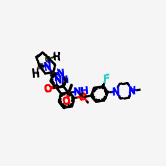 COc1cccc(C(=O)N[C@H]2C[C@H]3CC[C@@H](C2)N3c2ccc(C(=O)NCc3ccc(N4CCN(C)CC4)c(F)c3)cn2)c1C